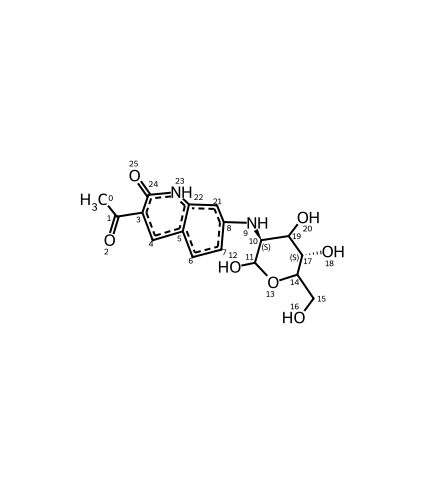 CC(=O)c1cc2ccc(N[C@@H]3C(O)OC(CO)[C@@H](O)C3O)cc2[nH]c1=O